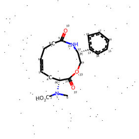 CN(C(=O)O)[C@@H]1CC=CCCC(=O)N[C@H](c2ccccc2)COC1=O